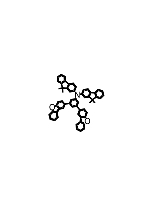 CC1(C)c2ccccc2-c2ccc(N(c3cc(-c4ccc5oc6ccccc6c5c4)cc(-c4ccc5oc6ccccc6c5c4)c3)c3ccc4c(c3)C(C)(C)c3ccccc3-4)cc21